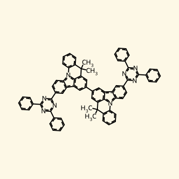 CC1(C)c2ccccc2-n2c3ccc(-c4nc(-c5ccccc5)nc(-c5ccccc5)n4)cc3c3cc(-c4cc5c6c(c4)c4cc(-c7nc(-c8ccccc8)nc(-c8ccccc8)n7)ccc4n6-c4ccccc4C5(C)C)cc1c32